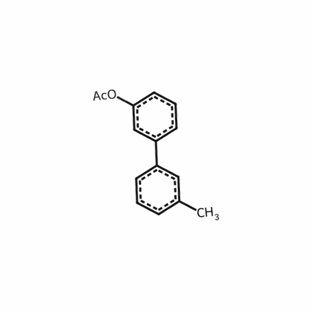 CC(=O)Oc1cccc(-c2cccc(C)c2)c1